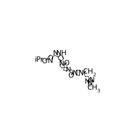 C=C(CCc1ncn(C)n1)N1CCN(C(=O)CN2CC[C@]3(CCN(c4ccc5[nH]nc(-c6ccc(OC(C)C)nc6)c5c4)C3=O)C2)CC1